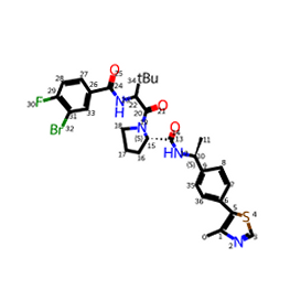 Cc1ncsc1-c1ccc([C@H](C)NC(=O)[C@@H]2CCCN2C(=O)C(NC(=O)c2ccc(F)c(Br)c2)C(C)(C)C)cc1